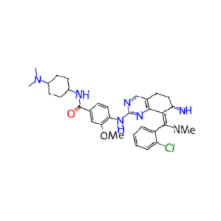 CN/C(=C1\C(=N)CCc2cnc(Nc3ccc(C(=O)NC4CCC(N(C)C)CC4)cc3OC)nc21)c1ccccc1Cl